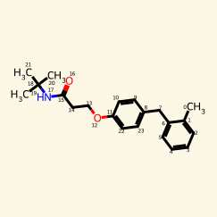 Cc1ccccc1Cc1ccc(OCCC(=O)NC(C)(C)C)cc1